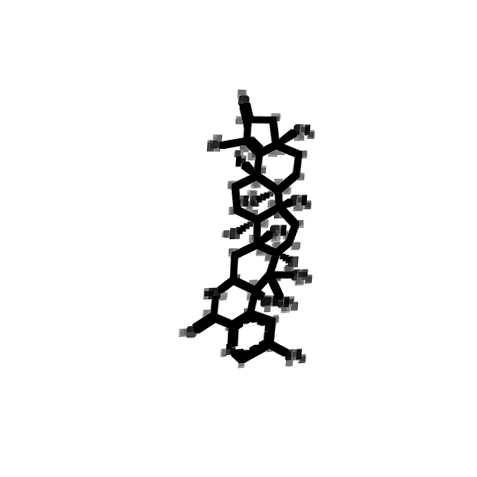 Cc1cnc2c(c1)[C@]1(O)C(C[C@]3(C)[C@H]4CC[C@@H]5C6=C(C(C)C)C(=O)C[C@]6(C)CC[C@@]5(C)[C@]4(C)CC[C@H]3C1(C)C)NC2=O